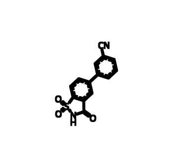 N#Cc1cccc(-c2ccc3c(c2)C(=O)NS3(=O)=O)c1